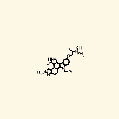 CC(C)Cn1c2ccc(OCC(=O)N(C)C)cc2c2c3c(c4c(c21)CCc1nn(C)cc1-4)C(=O)NC3